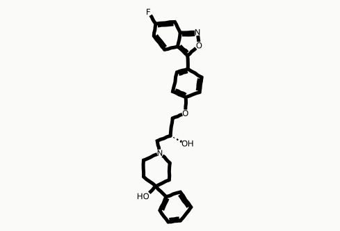 O[C@@H](COc1ccc(-c2onc3cc(F)ccc23)cc1)CN1CCC(O)(c2ccccc2)CC1